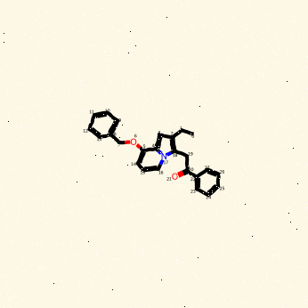 CCc1cc2c(OCc3ccccc3)cccn2c1CC(=O)c1ccccc1